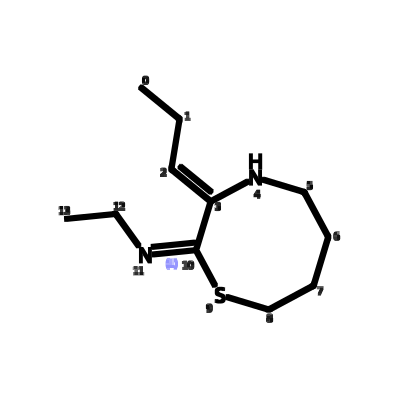 CCC=C1NCCCCS/C1=N/CC